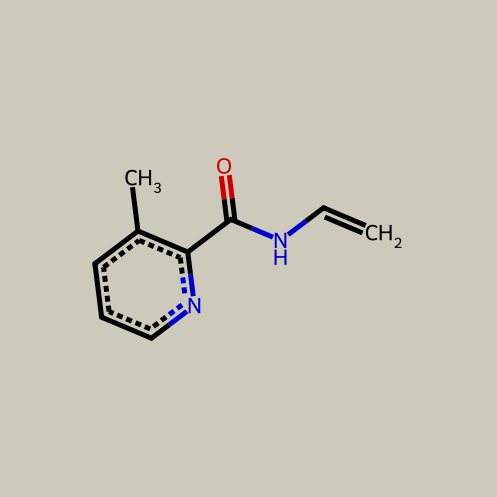 C=CNC(=O)c1ncccc1C